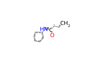 C=C[CH][14C](=O)Nc1ccccc1